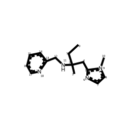 CCC(C)(Cc1nccn1C)NCc1ccccn1